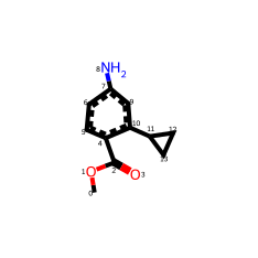 COC(=O)c1ccc(N)cc1C1CC1